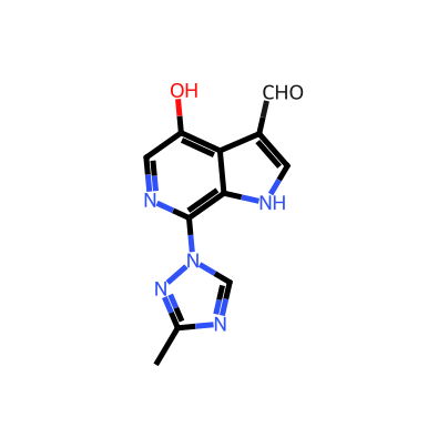 Cc1ncn(-c2ncc(O)c3c(C=O)c[nH]c23)n1